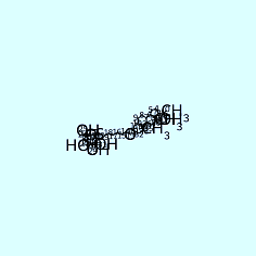 CC(O)[C@H]1CCC2C3CC=C4C[C@@H](OCCCCCCS[C@H]5O[C@H](CO)[C@@H](O)[C@H](O)[C@@H]5O)CC[C@]4(C)C3CC[C@@]21C